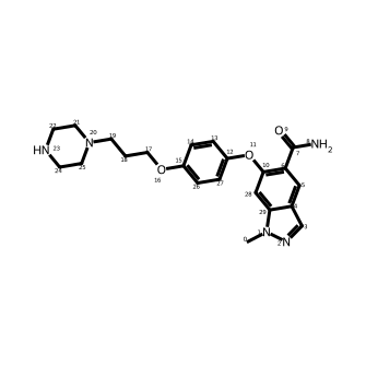 Cn1ncc2cc(C(N)=O)c(Oc3ccc(OCCCN4CCNCC4)cc3)cc21